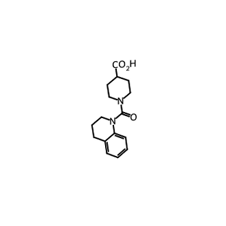 O=C(O)C1CCN(C(=O)N2CCCc3ccccc32)CC1